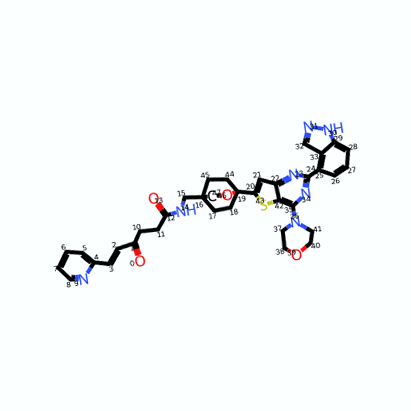 O=C(C=Cc1ccccn1)CCC(=O)NCC12CCC(c3cc4nc(-c5cccc6[nH]ncc56)nc(N5CCOCC5)c4s3)(CC1)OC2